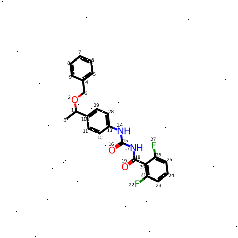 CC(OCc1ccccc1)c1ccc(NC(=O)NC(=O)c2c(F)cccc2F)cc1